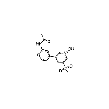 CC(=O)Nc1cc(-c2cc(S(C)(=O)=O)c[n+](O)c2)ccn1